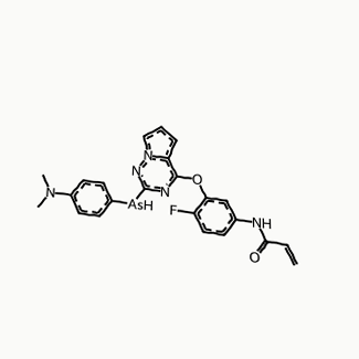 C=CC(=O)Nc1ccc(F)c(Oc2nc([AsH]c3ccc(N(C)C)cc3)nn3cccc23)c1